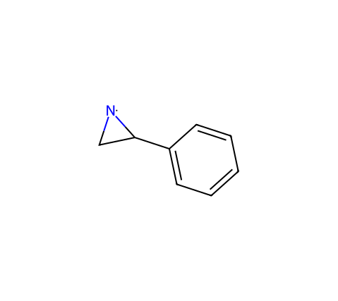 c1ccc(C2C[N]2)cc1